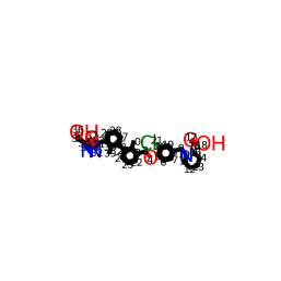 Cc1c(COc2ccc(CN3CCCC[C@H]3C(=O)O)cc2Cl)cccc1-c1cccc(-c2nnc(CO)o2)c1C